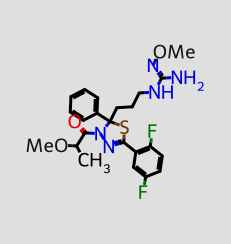 CON=C(N)NCCCC1(c2ccccc2)SC(c2cc(F)ccc2F)=NN1C(=O)C(C)OC